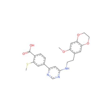 COc1cc2c(cc1CCNc1cc(-c3ccc(C(=O)O)c(SC)c3)ncn1)OCCO2